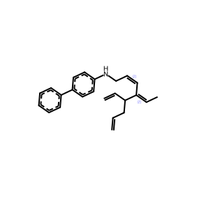 C=CCC(C=C)C(/C=C\CNc1ccc(-c2ccccc2)cc1)=C/C